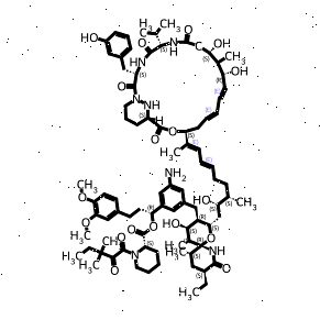 CC[C@H]1C[C@H](C)[C@@]2(NC1=O)O[C@@H](C[C@H](O)[C@@H](C)CC/C=C/C=C(\C)[C@@H]1C/C=C/C=C/[C@@H](O)C(C)[C@@H](O)CC(=O)N[C@@H](C(C)C)C(=O)N[C@@H](Cc3cccc(O)c3)C(=O)N3CCC[C@H](N3)C(=O)O1)[C@H](Cc1cc(N)cc([C@@H](CCc3ccc(OC)c(OC)c3)OC(=O)[C@@H]3CCCCN3C(=O)C(=O)C(C)(C)CC)c1)[C@H](O)[C@@H]2C